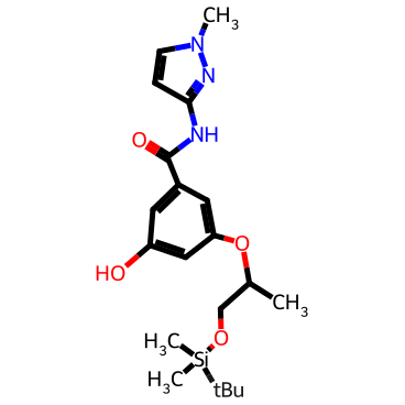 CC(CO[Si](C)(C)C(C)(C)C)Oc1cc(O)cc(C(=O)Nc2ccn(C)n2)c1